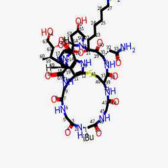 CC[C@H](C)[C@@H]1NC(=O)CNC(=O)C2Cc3c4[nH]c5cc(ccc35)OC(CCCCCCN)(C(=O)[C@H](CC(N)=O)NC(=O)C(CS4)NC(=O)CNC1=O)N1CC(O)C[C@H]1C(=O)N[C@@H]([C@@H](C)[C@@H](O)CO)C(=O)N2